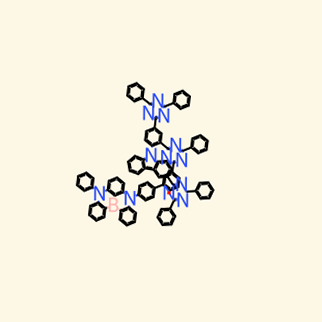 c1ccc(-c2nc(-c3ccccc3)nc(-c3ccc(-n4c5ccccc5c5cc(-c6nc(-c7ccccc7)nc(-c7ccccc7)n6)ccc54)c(-c4nc(-c5ccccc5)nc(-c5cccc(-c6ccc(N7c8ccccc8B8c9ccccc9N(c9ccccc9)c9cccc7c98)cc6)c5)n4)c3)n2)cc1